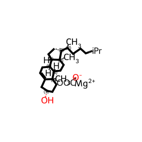 CC(C)CCC[C@@H](C)[C@H]1CC[C@H]2[C@@H]3CC=C4C[C@@H](O)CC[C@]4(C)[C@H]3CC[C@]12C.O=C([O-])[O-].[Mg+2]